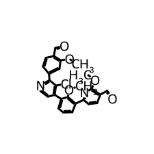 COc1cc(-c2nccc(-c3cccc(-c4ccc(C=O)c(OC)n4)c3OC)c2Cl)ccc1C=O